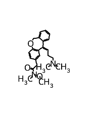 CON(C)C(=O)Cc1ccc2c(c1)/C(=C\CCN(C)C)c1ccccc1CO2